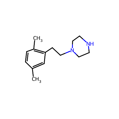 Cc1ccc(C)c(CCN2CCNCC2)c1